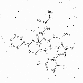 COCOC1C(NNC(=O)OC(C)(C)C)[C@H]2OC(c3ccccc3)OCC2O[C@H]1c1nc(Cl)nn1-c1cc(Cl)cnc1C(F)(F)F